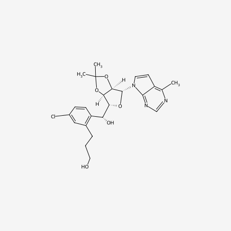 Cc1ncnc2c1ccn2[C@@H]1O[C@H]([C@H](O)c2ccc(Cl)cc2CCCO)[C@H]2OC(C)(C)O[C@H]21